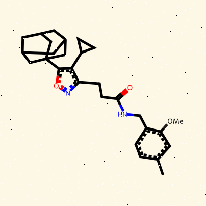 COc1cc(C)ccc1CNC(=O)CCc1noc(C23CC4CC(CC(C4)C2)C3)c1C1CC1